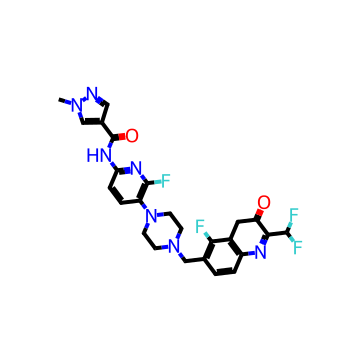 Cn1cc(C(=O)Nc2ccc(N3CCN(Cc4ccc5c(c4F)CC(=O)C(C(F)F)=N5)CC3)c(F)n2)cn1